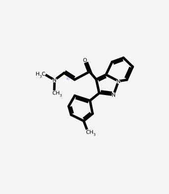 Cc1cccc(-c2nn3ccccc3c2C(=O)/C=C/N(C)C)c1